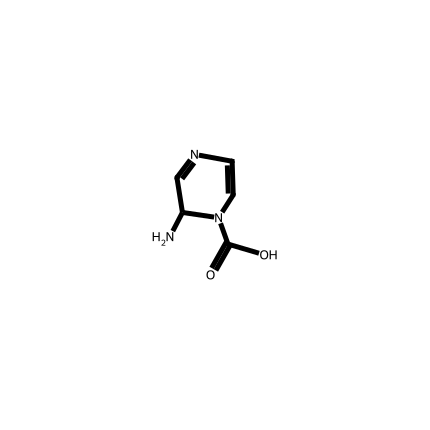 NC1C=NC=CN1C(=O)O